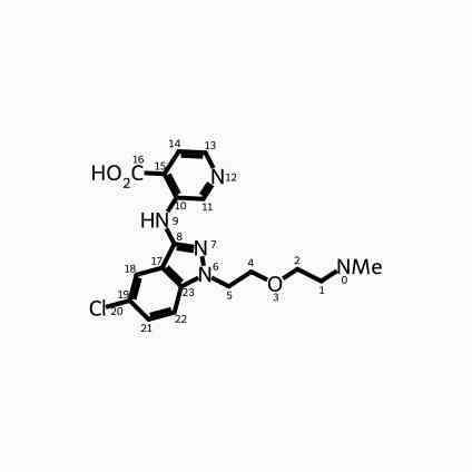 CNCCOCCn1nc(Nc2cnccc2C(=O)O)c2cc(Cl)ccc21